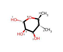 C[C@@H]1[C@@H](O)[C@@H](O)[C@H](O)O[C@H]1C